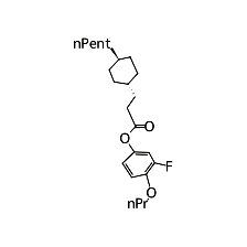 CCCCC[C@H]1CC[C@H](CCC(=O)Oc2ccc(OCCC)c(F)c2)CC1